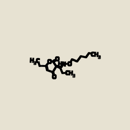 CCCCCCONC(CC)=C1C(=O)C=C(CC)OC1=O